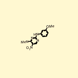 CNc1nc(Nc2cccc(OC)c2)ncc1[N+](=O)[O-]